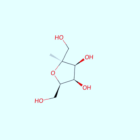 C[C@@]1(CO)O[C@H](CO)[C@H](O)[C@@H]1O